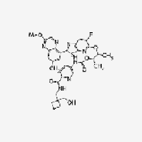 COc1cnc2c(-c3nc4cc(F)c(O[C@@H](C)[C@@H](C)OC(=O)Nc5ccc(C(=O)NCC6(CO)CCC6)nc5)nc4s3)cc(C)cc2n1